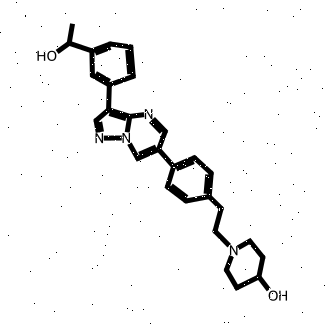 CC(O)c1cccc(-c2cnn3cc(-c4ccc(CCN5CCC(O)CC5)cc4)cnc23)c1